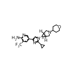 Nc1ncc(-c2cn([C@@H]3[C@@H]4CN(C5CCOCC5)C[C@@H]43)c(C3CC3)n2)cc1C(F)(F)F